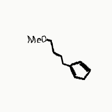 COCCCCC1=CCC=C1